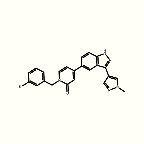 Cn1cc(-c2n[nH]c3ccc(-c4ccn(Cc5cccc(Br)c5)c(=O)c4)cc23)cn1